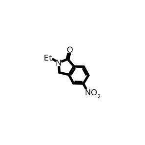 CCN1Cc2cc([N+](=O)[O-])ccc2C1=O